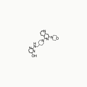 Oc1ccnc(NCC2CCN(c3nc(N4CCOCC4)cc4ncccc34)CC2)n1